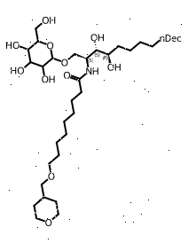 CCCCCCCCCCCCCC[C@@H](O)[C@@H](O)[C@H](COC1OC(CO)C(O)C(O)C1O)NC(=O)CCCCCCCCOCC1CCOCC1